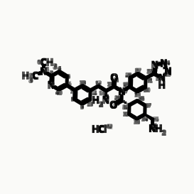 CN(C)c1ccc(-c2cccc(C[C@H](N)C(=O)N(c3ccc(-c4nnn[nH]4)cc3)C(=O)[C@H]3CC[C@H](CN)CC3)c2)cn1.Cl